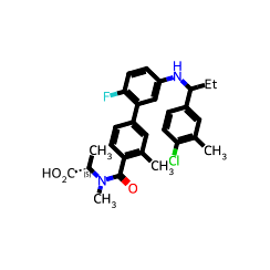 CCC(Nc1ccc(F)c(-c2ccc(C(=O)N(C)[C@@H](C)C(=O)O)c(C)c2)c1)c1ccc(Cl)c(C)c1